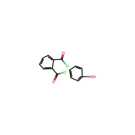 O=C(Cl)c1ccccc1C(=O)Cl.Oc1ccccc1